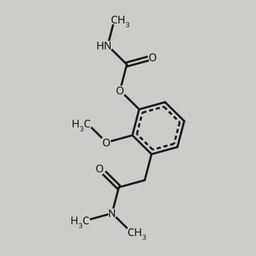 CNC(=O)Oc1cccc(CC(=O)N(C)C)c1OC